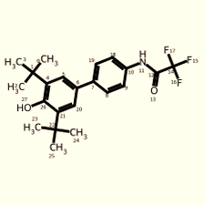 CC(C)(C)c1cc(-c2ccc(NC(=O)C(F)(F)F)cc2)cc(C(C)(C)C)c1O